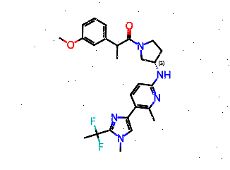 COc1cccc(C(C)C(=O)N2CC[C@H](Nc3ccc(-c4cn(C)c(C(C)(F)F)n4)c(C)n3)C2)c1